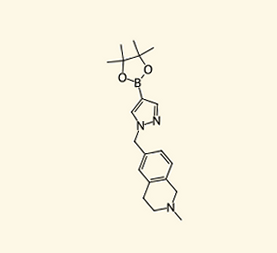 CN1CCc2cc(Cn3cc(B4OC(C)(C)C(C)(C)O4)cn3)ccc2C1